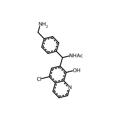 CC(=O)NC(c1ccc(CN)cc1)c1cc(Cl)c2cccnc2c1O